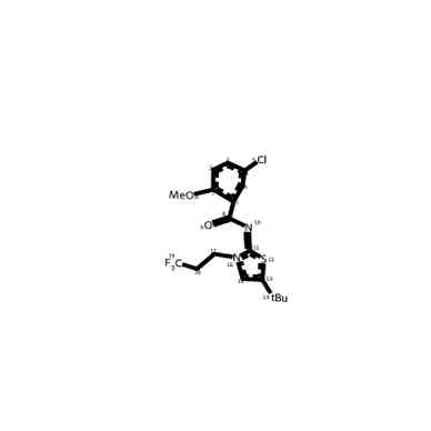 COc1ccc(Cl)cc1C(=O)N=c1sc(C(C)(C)C)cn1CCC(F)(F)F